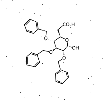 O=C(O)C[C@H]1O[C@H](O)[C@H](OCc2ccccc2)[C@@H](OCc2ccccc2)[C@@H]1OCc1ccccc1